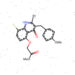 CCc1[nH]c2c(F)ccc(OCC(=O)OC)c2c(=O)c1Cc1ccc(OC)cc1